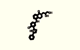 O=C1c2cccc(Nc3ccc(Cl)c(-c4ncc(-c5ccccc5)[nH]4)c3)c2CCN1CC(O)CO